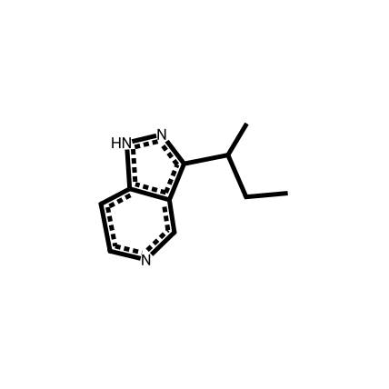 CCC(C)c1n[nH]c2ccncc12